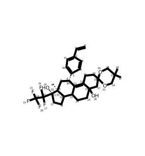 C=Cc1ccc([C@H]2C[C@@]3(C)C(CC[C@@]3(O)C(F)(F)C(F)(F)F)C3CCC4(O)CC5(CCC4=C32)OCC(C)(C)CO5)cc1